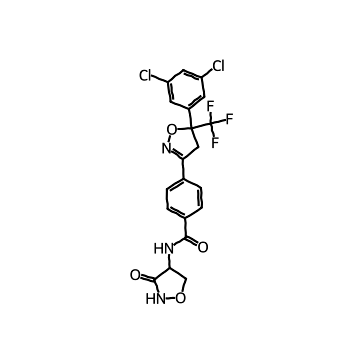 O=C(NC1CONC1=O)c1ccc(C2=NOC(c3cc(Cl)cc(Cl)c3)(C(F)(F)F)C2)cc1